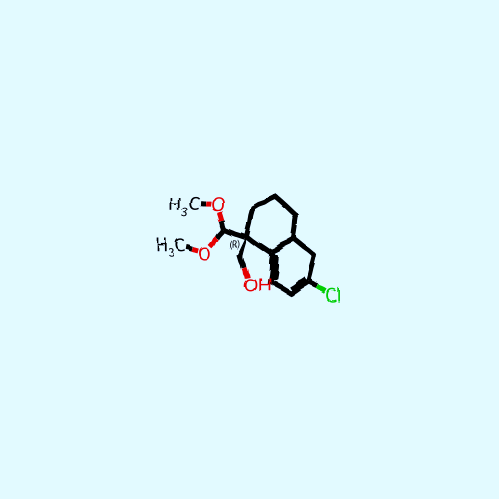 COC(OC)[C@]1(CO)CCCC2CC(Cl)=CC=C21